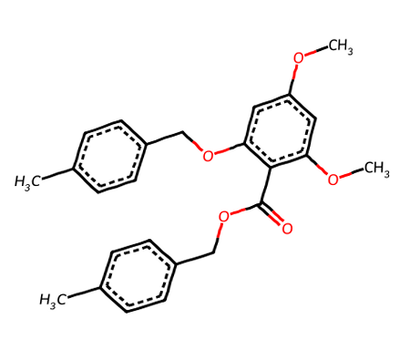 COc1cc(OC)c(C(=O)OCc2ccc(C)cc2)c(OCc2ccc(C)cc2)c1